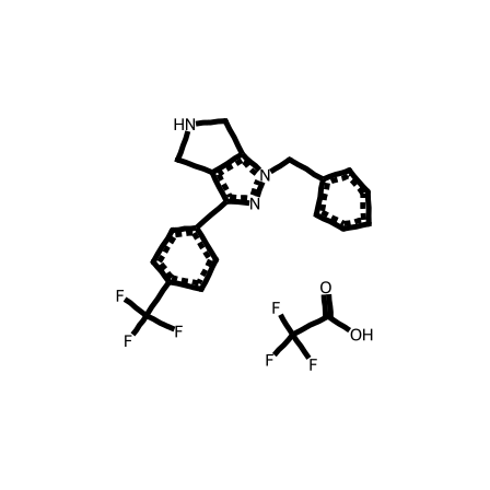 FC(F)(F)c1ccc(-c2nn(Cc3ccccc3)c3c2CNC3)cc1.O=C(O)C(F)(F)F